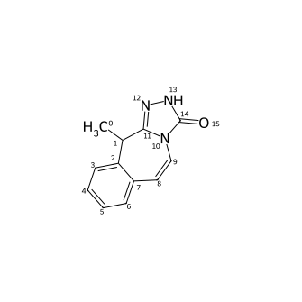 CC1c2ccccc2C=Cn2c1n[nH]c2=O